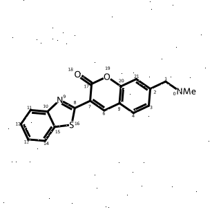 CNCc1ccc2cc(-c3nc4ccccc4s3)c(=O)oc2c1